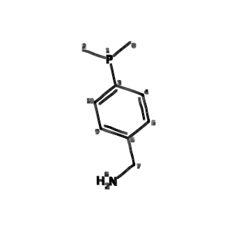 CP(C)c1ccc(CN)cc1